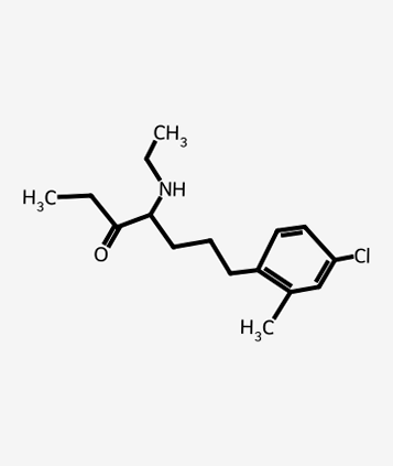 CCNC(CCCc1ccc(Cl)cc1C)C(=O)CC